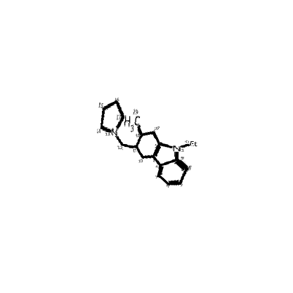 CCn1c2c(c3ccccc31)CC(CN1CCCC1)C(C)C2